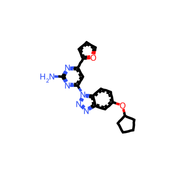 Nc1nc(-c2ccco2)cc(-n2nnc3cc(OC4CCCC4)ccc32)n1